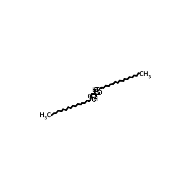 CCCCCCCCCCCCCCCCCC=[PH]1OCC2(CO1)CO[PH](=CCCCCCCCCCCCCCCCCC)OC2